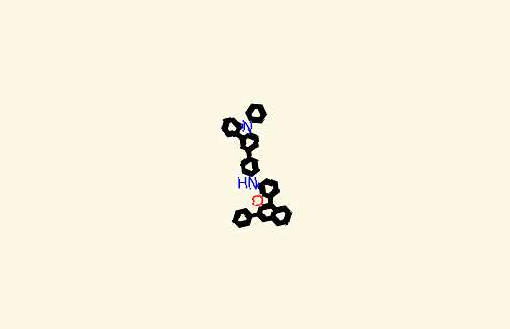 c1ccc(-c2cc3ccccc3c3c2oc2c(Nc4ccc(-c5ccc6c(c5)c5ccccc5n6-c5ccccc5)cc4)cccc23)cc1